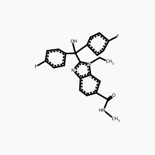 CCn1c(C(O)(c2ccc(F)cc2)c2ccc(F)cc2)nc2ccc(C(=O)NC)cc21